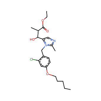 CCCCCOc1ccc(Cn2c(C(O)C(C)C(=O)OCC)cnc2C)c(Cl)c1